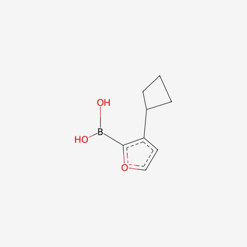 OB(O)c1occc1C1CCC1